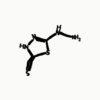 NNc1n[nH]c(=S)s1